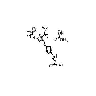 CC(=O)Nc1nc(CCc2ccc(NC=NC(=O)O)cc2)c(C(=O)N(C)C)s1.NC(=O)O